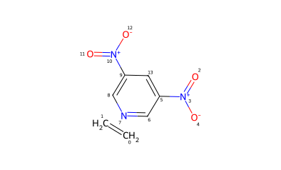 C=C.O=[N+]([O-])c1cncc([N+](=O)[O-])c1